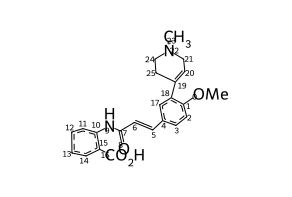 COc1ccc(C=CC(=O)Nc2ccccc2C(=O)O)cc1C1=CCN(C)CC1